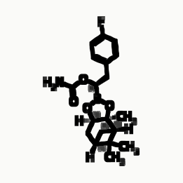 CC1(C)[C@@H]2C[C@H]3OB([C@H](Cc4ccc(F)cc4)OC(N)=O)O[C@@]3(C)[C@H]1C2